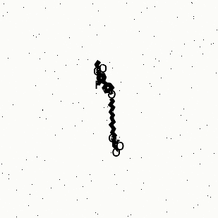 C=CC(=O)Oc1ccc(-c2ccc(OCCCCCCCCCCCCOC3COC(=O)C3)cc2)c(F)c1